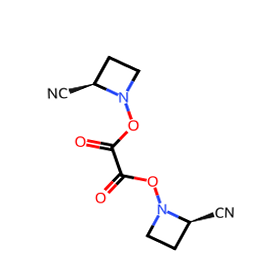 N#C[C@H]1CCN1OC(=O)C(=O)ON1CC[C@@H]1C#N